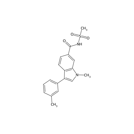 Cc1cccc(-c2cn(C)c3cc(C(=O)NS(C)(=O)=O)ccc23)c1